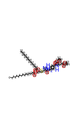 CCCCCCCCCCCCCCCC(=O)OC[C@H](CSCC(N)C(=O)NCc1ccc(C(=O)N[C@H](CCC(=O)OC(C)(C)C)C(=O)OC(C)(C)C)cc1)OC(=O)CCCCCCCCCCCCCCC